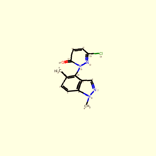 Cc1ccc2c(cnn2C)c1-n1nc(Cl)ccc1=O